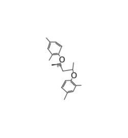 Cc1ccc(OC(C)C[C@@H](C)Oc2ccc(C)cc2C)c(C)c1